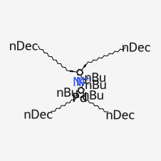 CCCCCCCCCCCCCCCCCCCCCCCCC#Cc1cc(C#CCCCCCCCCCCCCCCCCCCCCCCCC)cc(C2=C(CCCC)C(CCCC)=C(c3cc(CCCC)cc(CCCC)c3)[N+]2=[N-])c1.CCCCCCCCCCCCCCCCCCCC[CH2][Pd][CH2]CCCCCCCCCCCCCCCCCCCC